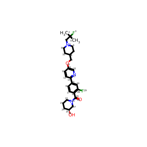 CC(C)(F)CN1CCC(COc2ccc(-c3ccc(C(=O)N4CCC[C@H](O)C4)c(F)c3)nc2)CC1